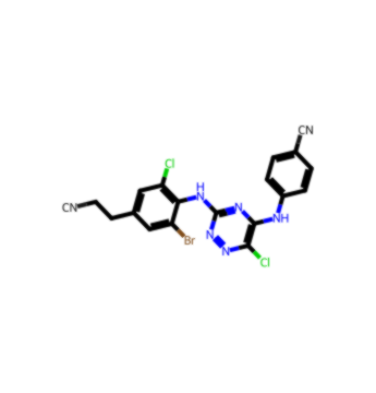 [C-]#[N+]CCc1cc(Cl)c(Nc2nnc(Cl)c(Nc3ccc(C#N)cc3)n2)c(Br)c1